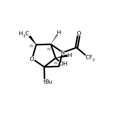 C[C@@H]1OC2(C(C)(C)C)CN(C(=O)C(F)(F)F)[C@H]1[C@@H]2O